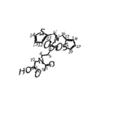 CC(=O)N(CCS(=O)(=O)N(Cc1cccs1)Cc1cccs1)CC(=O)O